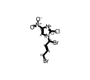 O=[N+]([O-])c1cn(C(Br)C=CCBr)c(Cl)n1